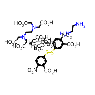 CC(=O)O.CC(=O)O.CC(=O)O.CC(=O)O.NCCN.O=C(O)CN(CCN(CC(=O)O)CC(=O)O)CC(=O)O.O=C(O)c1cc(SSc2ccc([N+](=O)[O-])c(C(=O)O)c2)ccc1[N+](=O)[O-]